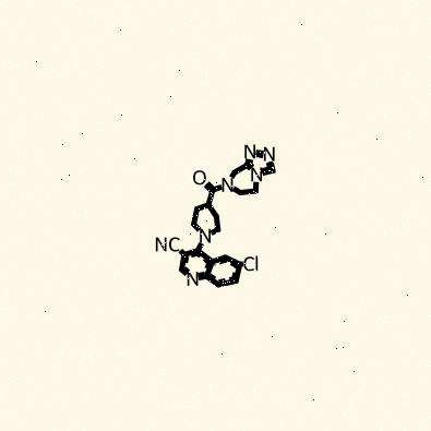 N#Cc1cnc2ccc(Cl)cc2c1N1CCC(C(=O)N2CCn3cnnc3C2)CC1